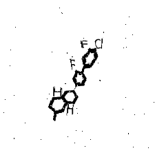 CC1CC[C@@H]2C[C@H](c3ccc(-c4ccc(Cl)c(F)c4)c(F)c3)CC[C@@H]2C1